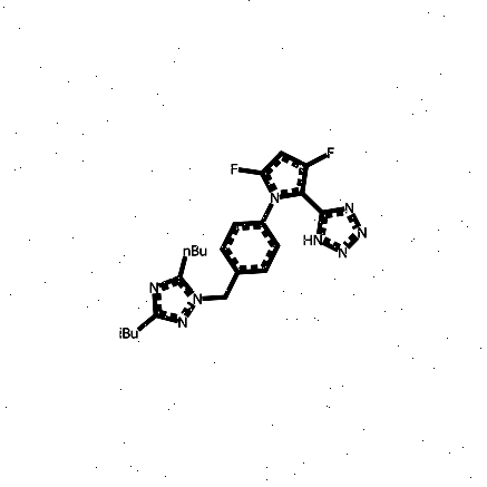 CCCCc1nc(C(C)CC)nn1Cc1ccc(-n2c(F)cc(F)c2-c2nnn[nH]2)cc1